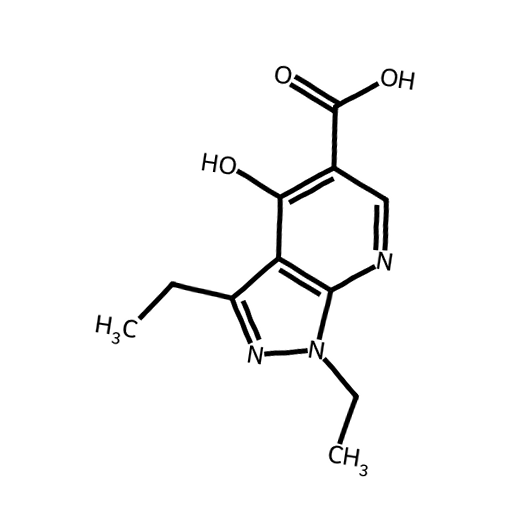 CCc1nn(CC)c2ncc(C(=O)O)c(O)c12